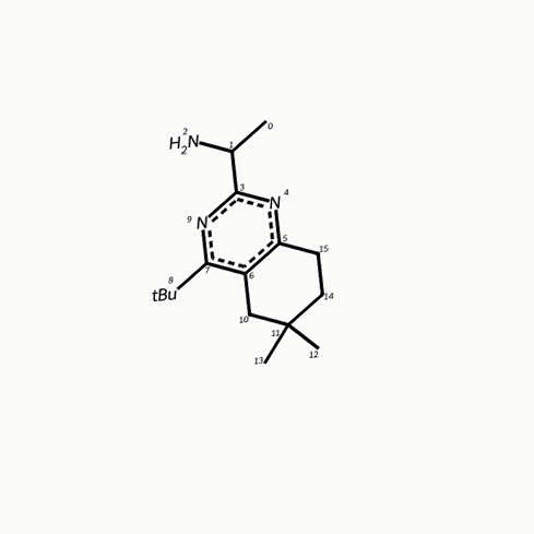 CC(N)c1nc2c(c(C(C)(C)C)n1)CC(C)(C)CC2